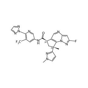 Cn1ccc([C@]2(C)C[C@@H](C(=O)Nc3cnc(-n4nccn4)c(C(F)(F)F)c3)c3cnc4cc(F)nn4c32)n1